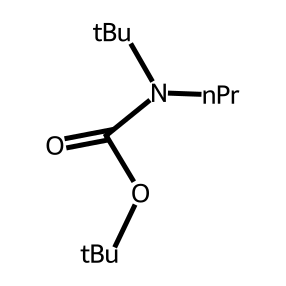 CCCN(C(=O)OC(C)(C)C)C(C)(C)C